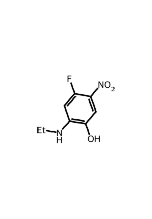 CCNc1cc(F)c([N+](=O)[O-])cc1O